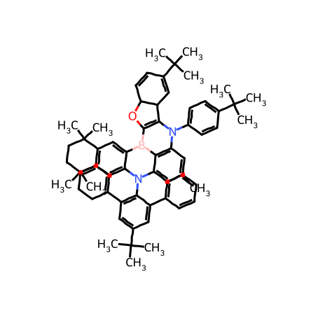 Cc1cc2c3c(c1)N(c1c(C4=CC=CCC4)cc(C(C)(C)C)cc1-c1ccccc1)c1cc4c(cc1B3C1=C(C3C=C(C(C)(C)C)C=CC3O1)N2c1ccc(C(C)(C)C)cc1)C(C)(C)CCC4(C)C